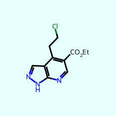 CCOC(=O)c1cnc2[nH]ncc2c1CCCl